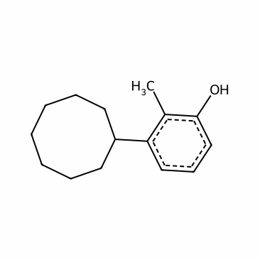 Cc1c(O)cccc1C1CCCCCCC1